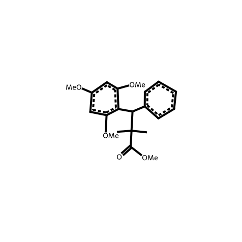 COC(=O)C(C)(C)C(c1ccccc1)c1c(OC)cc(OC)cc1OC